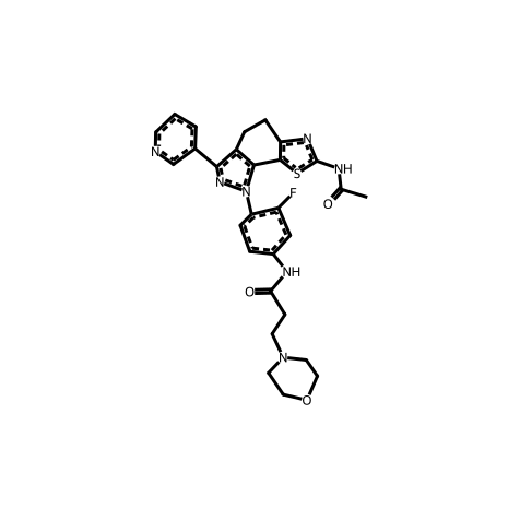 CC(=O)Nc1nc2c(s1)-c1c(c(-c3cccnc3)nn1-c1ccc(NC(=O)CCN3CCOCC3)cc1F)CC2